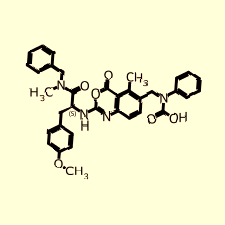 COc1ccc(C[C@H](Nc2nc3ccc(CN(C(=O)O)c4ccccc4)c(C)c3c(=O)o2)C(=O)N(C)Cc2ccccc2)cc1